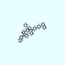 c1ccc(-c2ccc(N(c3ccc(-c4ccc(-c5cccc6ccccc56)cc4)cc3)c3ccccc3-c3cccc(-c4cccc5c4c4ccccc4n5-c4ccc5ccccc5c4)c3)cc2)cc1